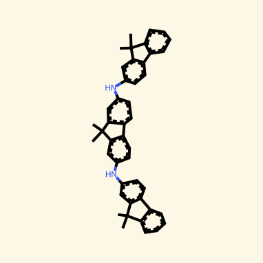 CC1(C)c2ccccc2-c2ccc(Nc3ccc4c(c3)C(C)(C)c3cc(Nc5ccc6c(c5)C(C)(C)c5ccccc5-6)ccc3-4)cc21